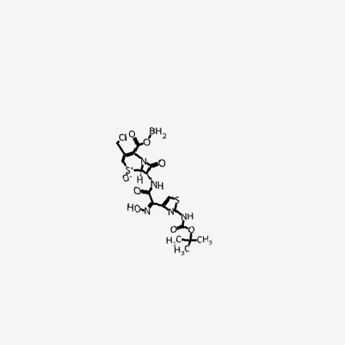 BOC(=O)C1=C(CCl)C[S+]([O-])[C@@H]2[C@H](NC(=O)/C(=N\O)c3csc(NC(=O)OC(C)(C)C)n3)C(=O)N12